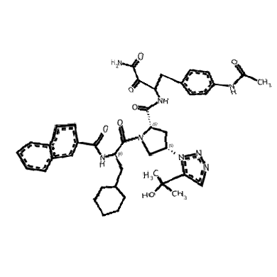 CC(=O)Nc1ccc(CC(NC(=O)[C@@H]2C[C@H](n3nncc3C(C)(C)O)CN2C(=O)[C@@H](CC2CCCCC2)NC(=O)c2ccc3ccccc3c2)C(=O)C(N)=O)cc1